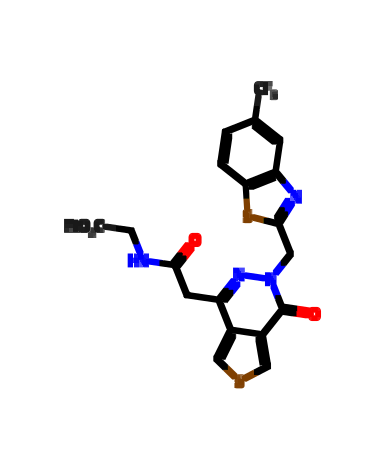 CCOC(=O)CNC(=O)Cc1nn(Cc2nc3cc(C(F)(F)F)ccc3s2)c(=O)c2cscc12